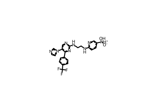 [O-][NH+](O)c1ccc(NCCNc2ncc(-n3ccnc3)c(-c3ccc(C(F)(F)F)cc3)n2)nc1